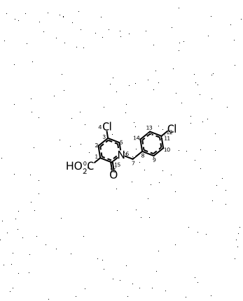 O=C(O)c1cc(Cl)cn(Cc2ccc(Cl)cc2)c1=O